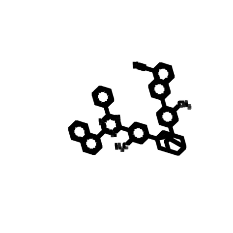 Cc1cc(C23CC4CC(C2)CC(c2ccc(-c5nc(-c6ccccc6)nc(-c6cccc7ccccc67)n5)c(C)c2)(C4)C3)ccc1-c1ccc2c(C#N)cccc2c1